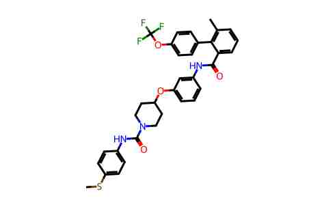 CSc1ccc(NC(=O)N2CCC(Oc3cccc(NC(=O)c4cccc(C)c4-c4ccc(OC(F)(F)F)cc4)c3)CC2)cc1